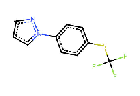 FC(F)(F)Sc1ccc(-n2cc[c]n2)cc1